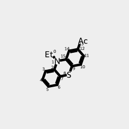 CCN1c2ccccc2Sc2ccc(C(C)=O)cc21